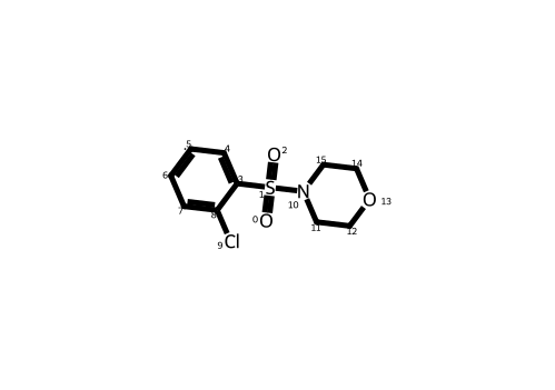 O=S(=O)(c1c[c]ccc1Cl)N1CCOCC1